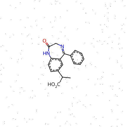 CC(C(=O)O)c1ccc2c(c1)C(c1ccccc1)=NCC(=O)N2